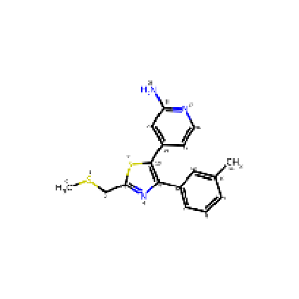 CSCc1nc(-c2cccc(C)c2)c(-c2ccnc(N)c2)s1